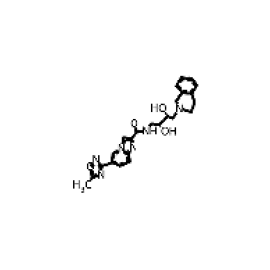 Cc1nc(-c2ccc3nc(C(=O)NC[C@H](O)[C@@H](O)CN4CCc5ccccc5C4)cn3c2)no1